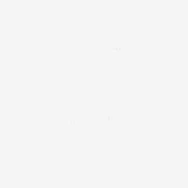 C[CH]C(C)C(C)(C)CCCCCCCCCC